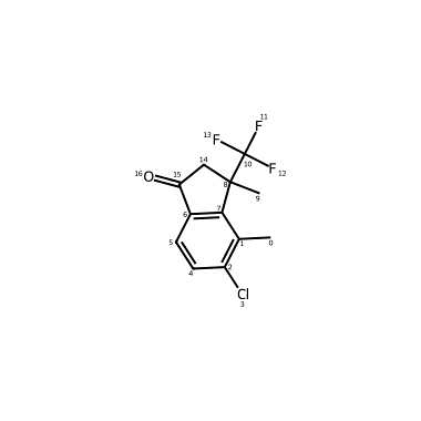 Cc1c(Cl)ccc2c1C(C)(C(F)(F)F)CC2=O